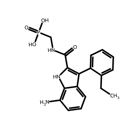 CCc1ccccc1-c1c(C(=O)NCP(=O)(O)O)[nH]c2c(N)cccc12